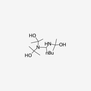 CCCCC(NC(C)(C)O)N(C(C)(C)O)C(C)(C)O